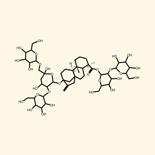 C=C1CC23CCC4[C@](C)(C(=O)OC5OC(CO)C(O)C(O)C5OC5OC(CO)C(O)C(O)C5O)CCC[C@@]4(C)[C@@H]2CCC1(OC1OC(O)(COC2OC(CO)C(O)C(O)C2O)CC(O)C1OC1OC(CO)C(O)C(O)C1O)C3